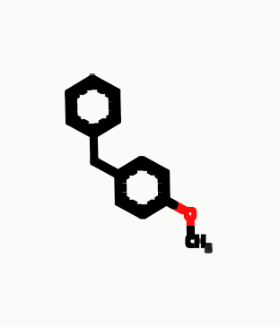 COc1ccc(Cc2cc[c]cc2)cc1